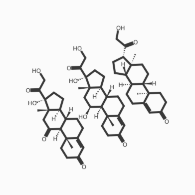 C[C@]12CCC(=O)C=C1CC[C@@H]1[C@@H]2C(=O)C[C@@]2(C)[C@H]1CC[C@]2(O)C(=O)CO.C[C@]12CCC(=O)C=C1CC[C@@H]1[C@@H]2[C@@H](O)C[C@@]2(C)[C@H]1CC[C@]2(O)C(=O)CO.C[C@]12CC[C@H]3[C@@H](CCC4=CC(=O)CC[C@@]43C)[C@@H]1CC[C@@H]2C(=O)CO